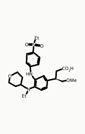 CCN(c1ccc([C@H](COC)CC(=O)O)cc1Nc1ccc(S(=O)(=O)CC)cc1)C1CCOCC1